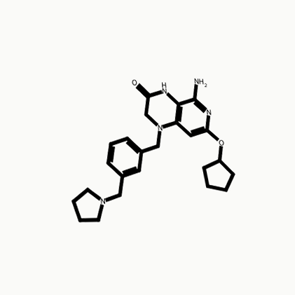 Nc1nc(OC2CCCC2)cc2c1NC(=O)CN2Cc1cccc(CN2CCCC2)c1